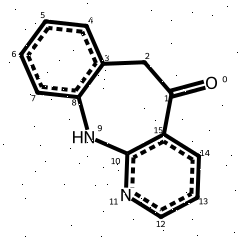 O=C1Cc2ccccc2Nc2ncccc21